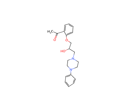 CC(=O)c1ccccc1OCC(O)CN1CCN(c2ccccc2)CC1